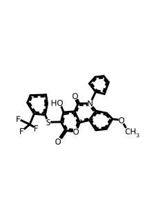 COc1ccc2c3oc(=O)c(Sc4ccccc4C(F)(F)F)c(O)c3c(=O)n(-c3ccccc3)c2c1